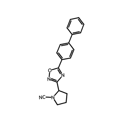 N#CN1CCCC1c1noc(-c2ccc(-c3ccccc3)cc2)n1